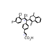 CC/C(=C(\C1=C(F)c2ccccc2C(C)C1)c1ccc(/C=C/C(=O)O)cc1)c1ccc(F)cc1Cl